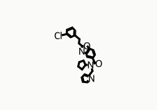 O=C(c1ccc2oc(CCc3cccc(Cl)c3)nc2c1)N(Cc1ccccn1)C1CCCC1